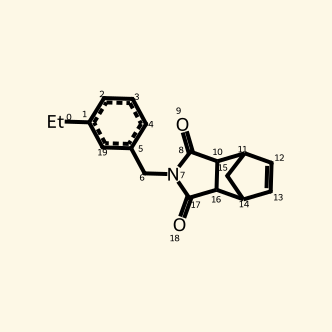 CCc1cccc(CN2C(=O)C3C4C=CC(C4)C3C2=O)c1